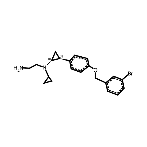 NCCN(C1CC1)[C@@H]1C[C@H]1c1ccc(OCc2cccc(Br)c2)cc1